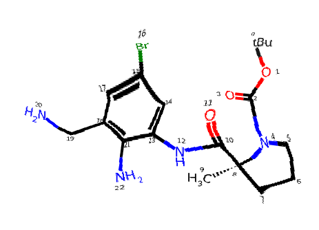 CC(C)(C)OC(=O)N1CCC[C@@]1(C)C(=O)Nc1cc(Br)cc(CN)c1N